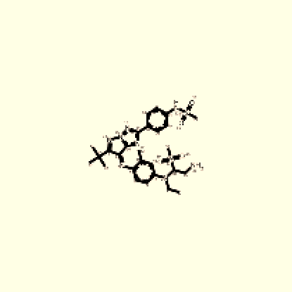 CCN(c1ccc(/N=C2/C(C(C)(C)C)=Nn3nc(-c4ccc(NS(C)(=O)=O)cc4)nc32)c(C)c1)C(CN)S(C)(=O)=O